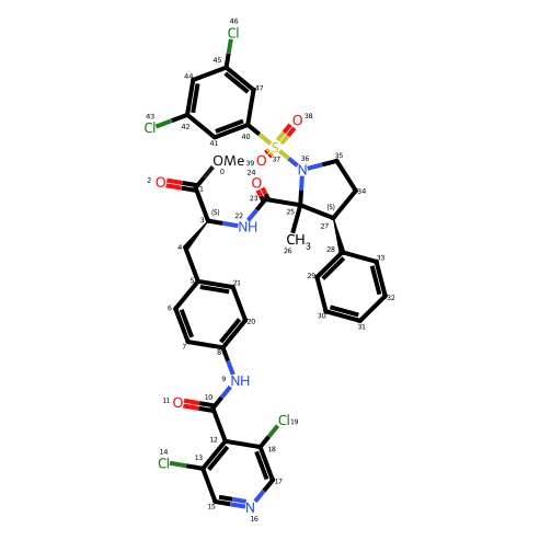 COC(=O)[C@H](Cc1ccc(NC(=O)c2c(Cl)cncc2Cl)cc1)NC(=O)C1(C)[C@H](c2ccccc2)CCN1S(=O)(=O)c1cc(Cl)cc(Cl)c1